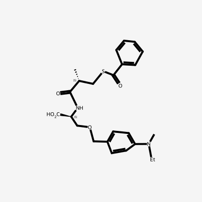 CCN(C)c1ccc(COC[C@H](NC(=O)[C@H](C)CSC(=O)c2ccccc2)C(=O)O)cc1